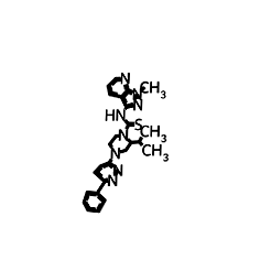 CC(C)C1CN(c2ccc(-c3ccccc3)nn2)CCN1C(=S)Nc1nn(C)c2ncccc12